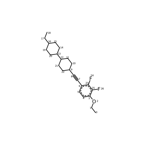 CCOc1ccc(C#CC2CCC(C3CCC(CC)CC3)CC2)c(F)c1F